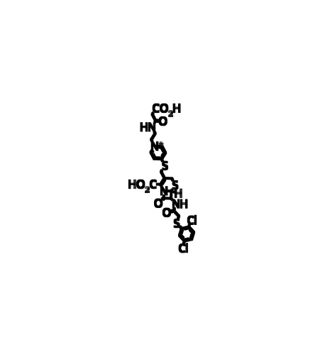 O=C(O)CC(=O)NCC[n+]1ccc(SCC2=C(C(=O)O)N3C(=O)[C@H](NC(=O)CSc4cc(Cl)ccc4Cl)[C@H]3SC2)cc1